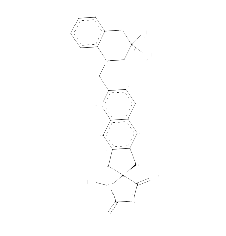 CN1C(=O)NC(=O)[C@]12Cc1cc3ccc(CN4CC(C)(C)Nc5ccccc54)nc3cc1C2